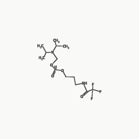 CC(C)N(CO[PH](=O)OCCCNC(=O)C(F)(F)F)C(C)C